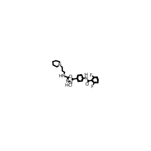 Cl.O=C(Nc1ccc(-c2nnc(NCCCN3CCCCC3)o2)cc1)c1c(F)cccc1F